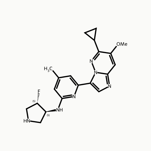 COc1cc2ncc(-c3cc(C)cc(N[C@H]4CNC[C@@H]4F)n3)n2nc1C1CC1